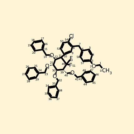 CCOc1ccc(Cc2cc(C3[C@H](OCc4ccccc4)[C@@H](OCc4ccccc4)[C@H](OCc4ccccc4)[C@@H](COCc4ccccc4)C3(F)F)ccc2Cl)cc1